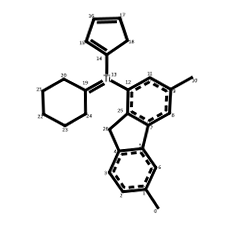 Cc1ccc2c(c1)-c1cc(C)c[c]([Ti]([C]3=CC=CC3)=[C]3CCCCC3)c1C2